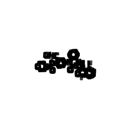 O=Cc1cc(N(C(=O)n2nnn(-c3c(F)cccc3F)c2=O)C2CCCCC2)ccc1OC(=O)N1CCOCC1